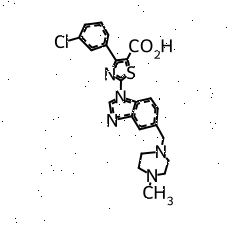 CN1CCN(Cc2ccc3c(c2)ncn3-c2nc(-c3cccc(Cl)c3)c(C(=O)O)s2)CC1